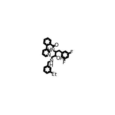 CCc1cccc(CNCC(O)C(Cc2cc(F)cc(F)c2)NC(=O)c2ccccc2-c2cccnc2)c1